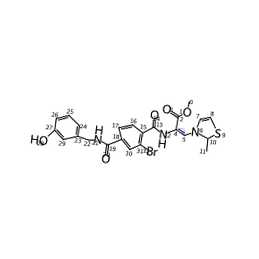 COC(=O)/C(=C\N1C=CSC1C)NC(=O)c1ccc(C(=O)NCc2cccc(O)c2)cc1Br